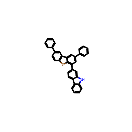 c1ccc(-c2ccc3sc4c(-c5ccc6c(c5)[nH]c5ccccc56)cc(-c5ccccc5)cc4c3c2)cc1